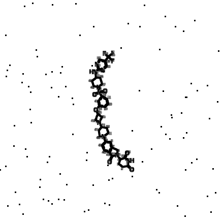 O=C1CCC(N2Cc3cc(N4CCC(N5CC(Oc6cccc(S(=O)(=O)N7CCC(Nc8ncc(C(F)(F)F)cn8)CC7)c6)C5)CC4)ccc3C2=O)C(=O)N1